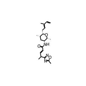 C=C/C(C)=C/C[C@@H]1O[C@H](C)[C@H](NC(=O)/C=C/C(C)c2noc(C)n2)C[C@@H]1C